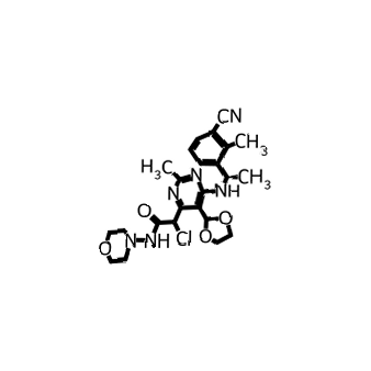 Cc1nc(N[C@H](C)c2cccc(C#N)c2C)c(C2OCCO2)c(C(Cl)C(=O)NN2CCOCC2)n1